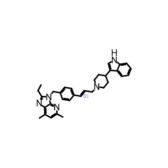 CCc1nc2c(C)cc(C)nc2n1Cc1ccc(/C=C/CN2CCC(c3c[nH]c4ccccc34)CC2)cc1